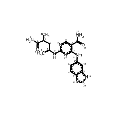 CC(CC(C)C(N)=O)Nc1ncc(C(N)=O)c(Nc2ccc3nsnc3c2)n1